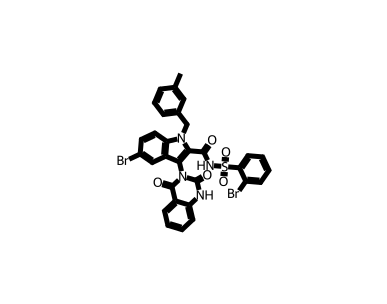 Cc1cccc(Cn2c(C(=O)NS(=O)(=O)c3ccccc3Br)c(-n3c(=O)[nH]c4ccccc4c3=O)c3cc(Br)ccc32)c1